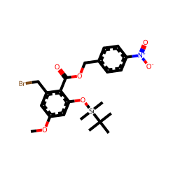 COc1cc(CBr)c(C(=O)OCc2ccc([N+](=O)[O-])cc2)c(O[Si](C)(C)C(C)(C)C)c1